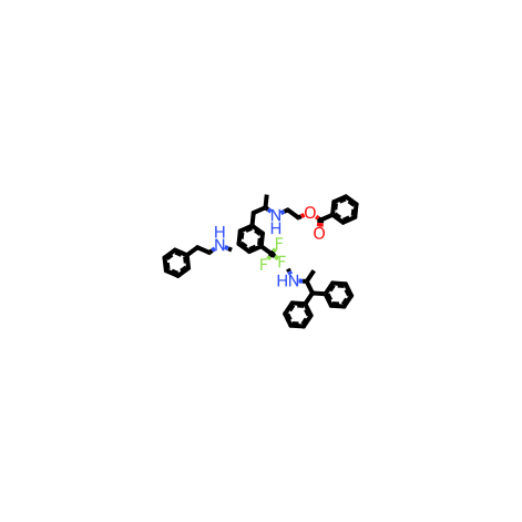 CC(Cc1cccc(C(F)(F)F)c1)NCCOC(=O)c1ccccc1.CNC(C)C(c1ccccc1)c1ccccc1.CNCCc1ccccc1